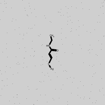 CCNC(=O)C=C[S][Ag]